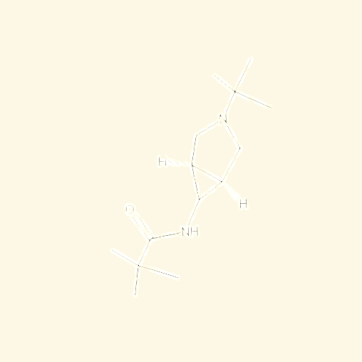 CC(C)(C)C(=O)NC1[C@H]2CN(C(C)(C)C)C[C@@H]12